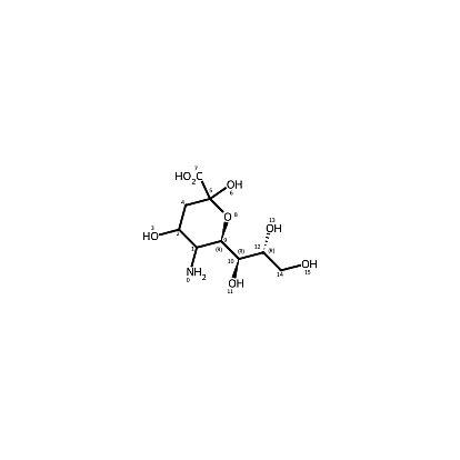 NC1C(O)CC(O)(C(=O)O)O[C@H]1[C@H](O)[C@H](O)CO